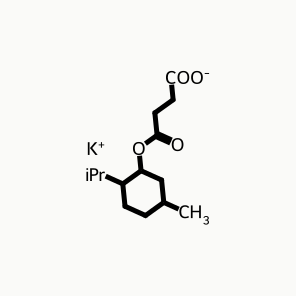 CC1CCC(C(C)C)C(OC(=O)CCC(=O)[O-])C1.[K+]